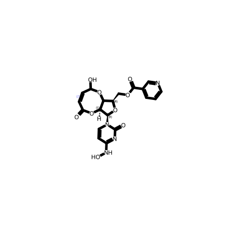 O=C1/C=C\C(O)OC2[C@@H](COC(=O)c3cccnc3)O[C@@H](n3ccc(NO)nc3=O)[C@H]2O1